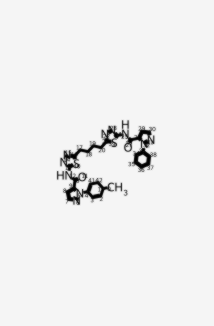 CC1C=CC(n2nccc2C(=O)Nc2nnc(CCCCc3nnc(NC(=O)c4ccnn4-c4ccccc4)s3)s2)=CC1